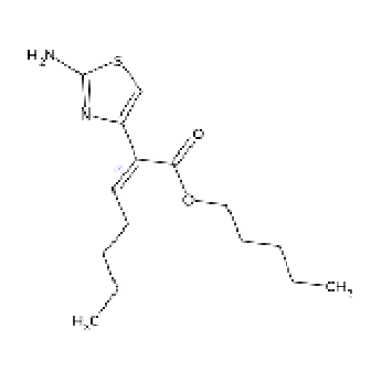 CCCC/C=C(\C(=O)OCCCCC)c1csc(N)n1